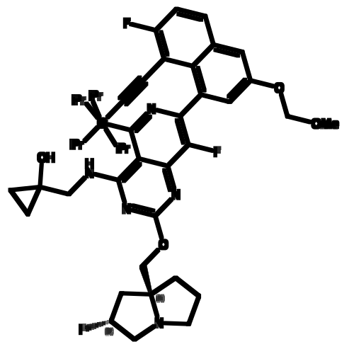 COCOc1cc(-c2nc(OC(C)C)c3c(NCC4(O)CC4)nc(OC[C@@]45CCCN4C[C@H](F)C5)nc3c2F)c2c(C#C[Si](C(C)C)(C(C)C)C(C)C)c(F)ccc2c1